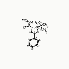 CC(C)(C)NCC(SCC(=O)NO)c1ccccc1